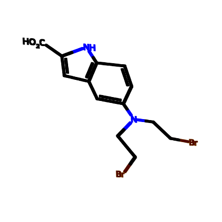 O=C(O)c1cc2cc(N(CCBr)CCBr)ccc2[nH]1